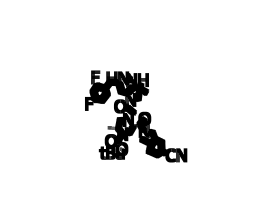 C[C@@H]1CN(CC(=O)N2CC(C)(C)C3=C2C=C(Cc2ccc(F)cc2F)NN3)[C@H](C(=O)N2Cc3ccc(C#N)cc3C2)CN1C(=O)OC(C)(C)C